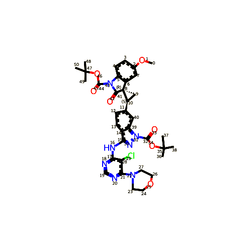 COc1ccc2c(c1)[C@]1(C[C@H]1c1ccc3c(Nc4ncnc(N5CCOCC5)c4Cl)nn(C(=O)OC(C)(C)C)c3c1)C(=O)N2C(=O)OC(C)(C)C